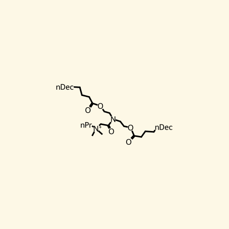 CCCCCCCCCCCCCC(=O)OCCN(CCOC(=O)CCCCCCCCCCCCC)C(=O)C[N+](C)(C)CCC